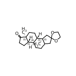 C[C@]12CC3(CC1CC[C@@H]1[C@@H]2CC[C@]2(C)C(=O)CC[C@@H]12)OCCO3